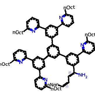 CCCCCCCCC/C=C\C=C(/N)c1cc(-c2cc(-c3cc(-c4cccc(CCCCCCCC)n4)cc(-c4cccc(CCCCCCCC)n4)c3)cc(-c3cc(-c4cccc(CCCCCCCC)n4)cc(-c4cccc(CCCCCCCC)n4)c3)c2)cc(-c2cccc(CCCCCCCC)n2)c1